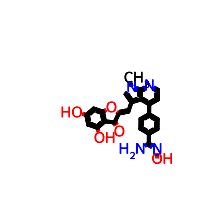 Cn1cc(/C=C2\Oc3cc(O)cc(O)c3C2=O)c2c(-c3ccc(/C(N)=N/O)cc3)ccnc21